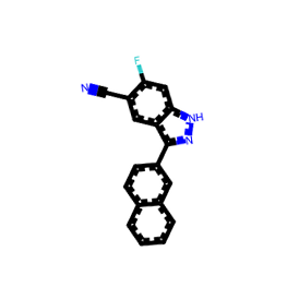 N#Cc1cc2c(-c3ccc4ccccc4c3)n[nH]c2cc1F